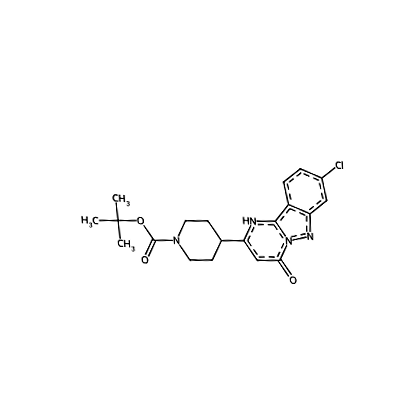 CC(C)(C)OC(=O)N1CCC(c2cc(=O)n3nc4cc(Cl)ccc4c3[nH]2)CC1